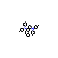 Cc1ccc(N(c2ccc(C)cc2)c2cccc3c(N(c4ccc(C)cc4)c4ccc(C)cc4)c4ccc5ccccc5c4cc23)cc1